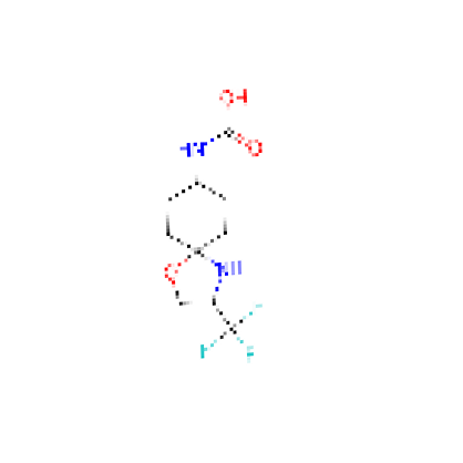 O=C(O)NC1CCC2(CC1)NC(C(F)(F)F)CO2